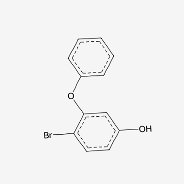 Oc1ccc(Br)c(Oc2ccccc2)c1